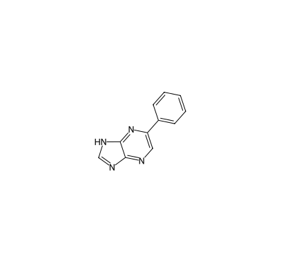 c1ccc(-c2cnc3nc[nH]c3n2)cc1